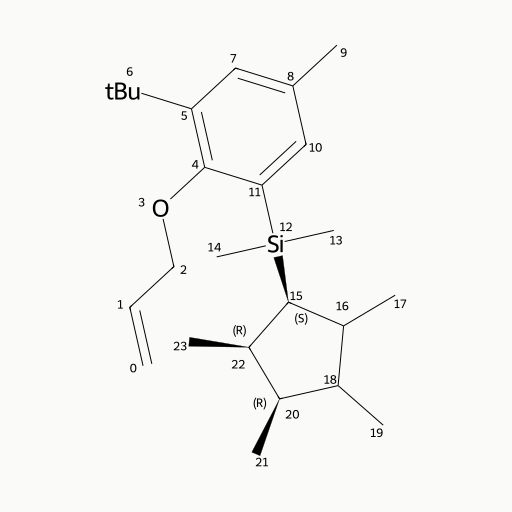 C=CCOc1c(C(C)(C)C)cc(C)cc1[Si](C)(C)[C@H]1C(C)C(C)[C@@H](C)[C@H]1C